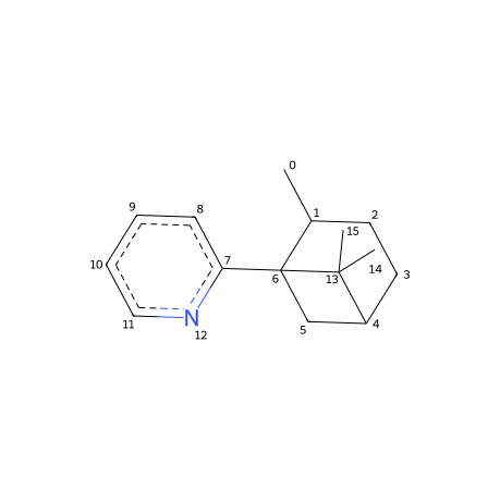 CC1CCC2CC1(c1ccccn1)C2(C)C